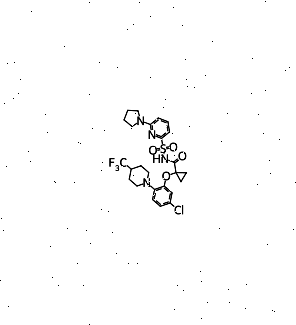 O=C(NS(=O)(=O)c1cccc(N2CCCC2)n1)C1(Oc2cc(Cl)ccc2N2CCC(C(F)(F)F)CC2)CC1